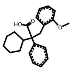 COc1ccccc1CC(C(=O)O)(c1ccccc1)C1CCCCC1